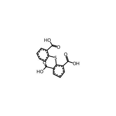 O=C(O)c1ccccc1Sc1c(C(=O)O)cccc1C(=O)O